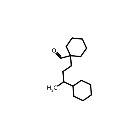 CC(CCC1(C=O)CCCCC1)C1CCCCC1